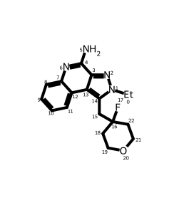 CCn1nc2c(N)nc3ccccc3c2c1CC1(F)CCOCC1